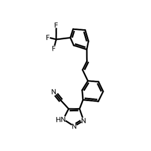 N#Cc1[nH]nnc1-c1cccc(C=Cc2cccc(C(F)(F)F)c2)c1